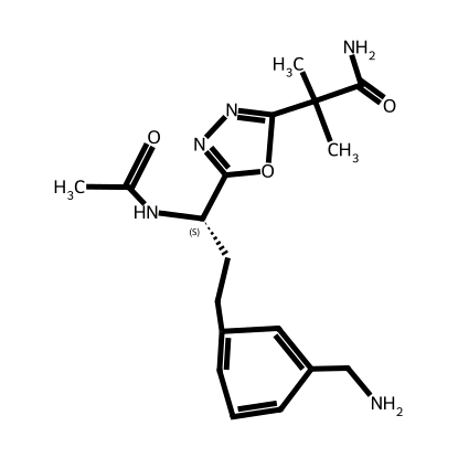 CC(=O)N[C@@H](CCc1cccc(CN)c1)c1nnc(C(C)(C)C(N)=O)o1